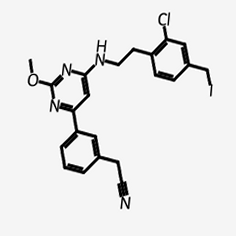 COc1nc(NCCc2ccc(CI)cc2Cl)cc(-c2cccc(CC#N)c2)n1